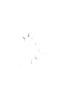 C=C(C)C(=O)C(CC)(CC)OCCC(C)OC(=O)CCC(=O)O